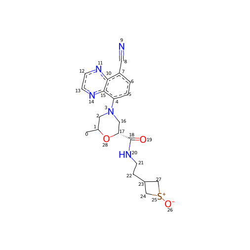 CC1CN(c2ccc(C#N)c3nccnc23)C[C@H](C(=O)NCCC2C[S+]([O-])C2)O1